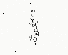 O=C1S/C(=C\c2ccc3c(cnn3Cc3ccc(Cl)cc3C(F)(F)F)c2)C(=O)N1C1CCN(CCO)CC1